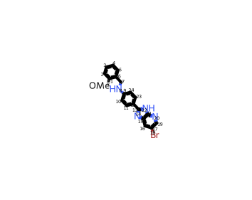 COc1ccccc1CNc1ccc(-c2nc3cc(Br)cnc3[nH]2)cc1